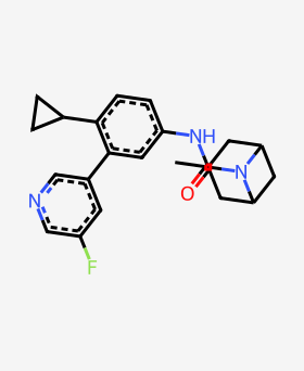 CC1CC2CC(C1)N2C(=O)Nc1ccc(C2CC2)c(-c2cncc(F)c2)c1